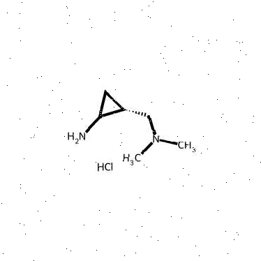 CN(C)C[C@H]1CC1N.Cl